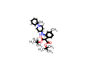 Cc1ccc(C(C(=O)OC(C)(C)C)C(=O)OC(C)(C)C)c(NC2CCN(C3(C)CCCCC3)CC2)c1